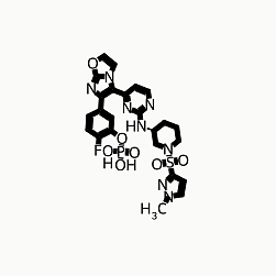 Cn1ccc(S(=O)(=O)N2CCC[C@@H](Nc3nccc(-c4c(-c5ccc(F)c(OP(=O)(O)O)c5)nc5occn45)n3)C2)n1